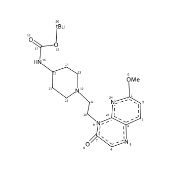 COc1ccc2ncc(=O)n(CCN3CCC(NC(=O)OC(C)(C)C)CC3)c2n1